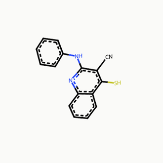 N#Cc1c(Nc2ccccc2)nc2ccccc2c1S